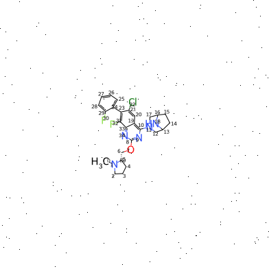 CN1CCC[C@H]1COc1nc(N2CC3CCC(C2)N3)c2cc(Cl)c(-c3ccccc3F)c(F)c2n1